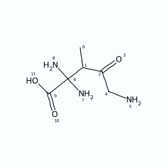 CC(C(=O)CN)C(N)(N)C(=O)O